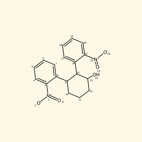 O=[N+]([O-])c1ccccc1[C]1CCCC(O)C1c1ccccc1[N+](=O)[O-]